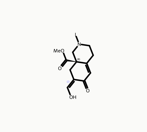 COC(=O)[C@]12C/C(=C/O)C(=O)C=C1CCN(I)C2